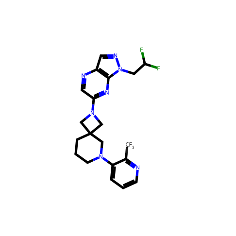 FC(F)Cn1ncc2ncc(N3CC4(CCCN(c5cccnc5C(F)(F)F)C4)C3)nc21